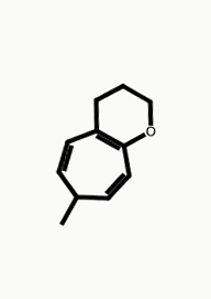 CC1C=CC2=C(C=C1)OCCC2